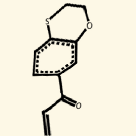 C=CC(=O)c1ccc2c(c1)OCCS2